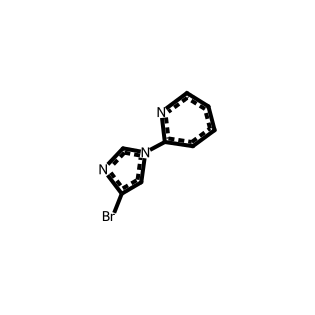 Brc1cn(-c2ccccn2)cn1